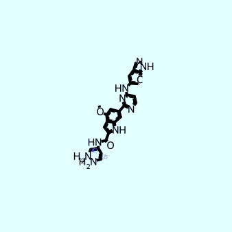 COc1cc(-c2nccc(Nc3ccc4[nH]ncc4c3)n2)cc2[nH]c(C(=O)NC(/C=C\N)=C/N)cc12